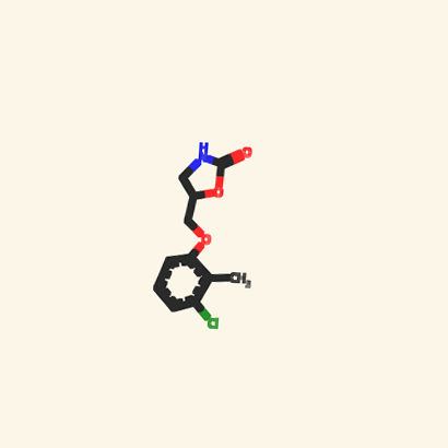 Cc1c(Cl)cccc1OCC1CNC(=O)O1